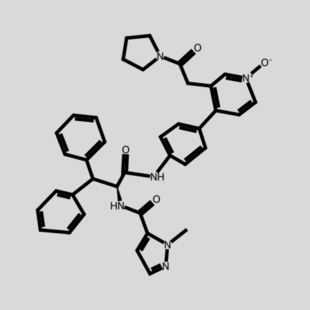 Cn1nccc1C(=O)N[C@H](C(=O)Nc1ccc(-c2cc[n+]([O-])cc2CC(=O)N2CCCC2)cc1)C(c1ccccc1)c1ccccc1